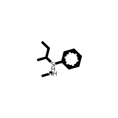 CCC(C)[SiH](NC)c1ccccc1